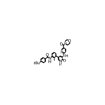 Cc1c(NC(=O)c2ccc(C(C)(C)C)cc2)cccc1-c1c[nH]c(=O)c(Nc2ccc(C(=O)N3CCOCC3)cn2)c1